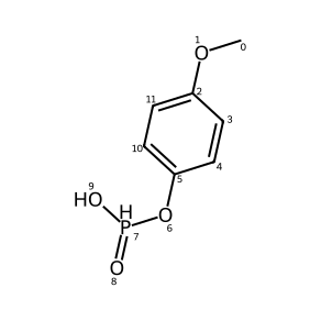 COc1ccc(O[PH](=O)O)cc1